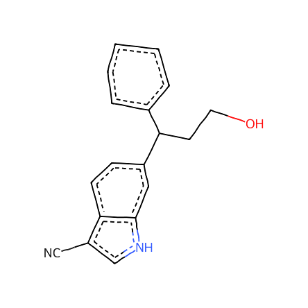 N#Cc1c[nH]c2cc(C(CCO)c3ccccc3)ccc12